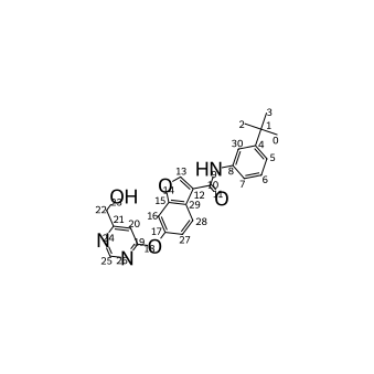 CC(C)(C)c1cccc(NC(=O)c2coc3cc(Oc4cc(CO)ncn4)ccc23)c1